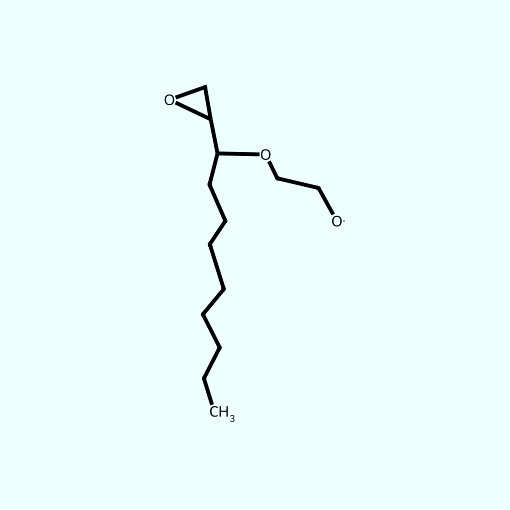 CCCCCCCCC(OCC[O])C1CO1